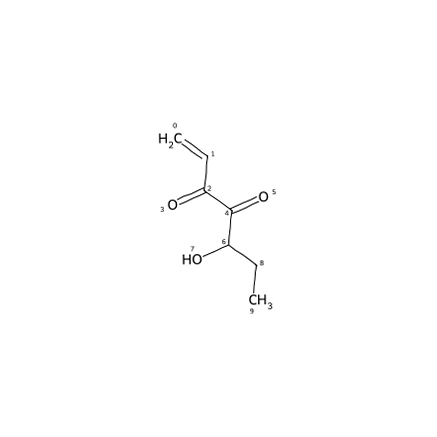 C=CC(=O)C(=O)C(O)CC